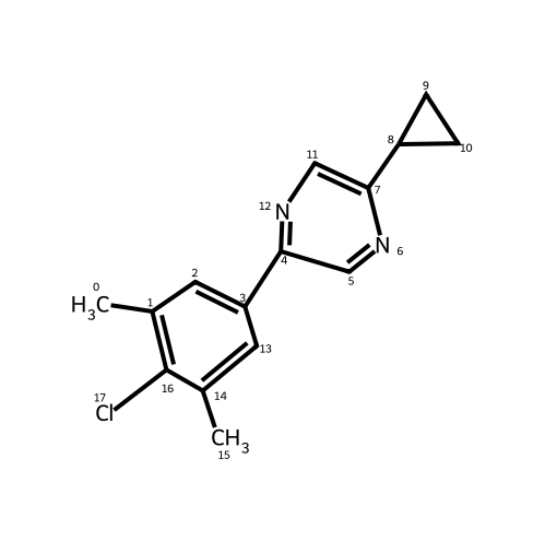 Cc1cc(-c2cnc(C3CC3)cn2)cc(C)c1Cl